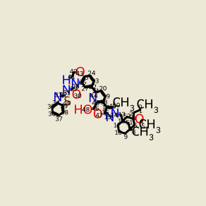 CCCC1(OC)CC2(C)CCCC(Cn3ncc(-c4ccc(-c5ccc6c(c5)N(C(=O)Nc5nc7ccccc7s5)CCO6)nc4C(=O)O)c3C)(C2)C1